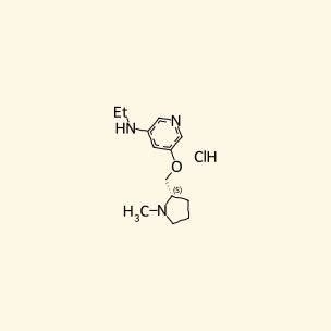 CCNc1cncc(OC[C@@H]2CCCN2C)c1.Cl